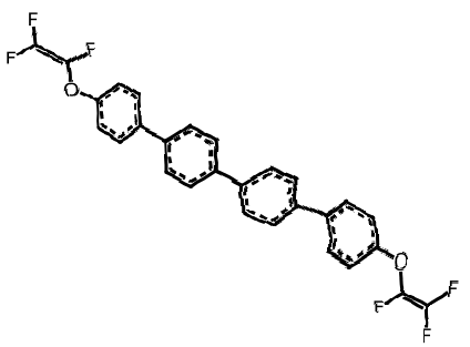 FC(F)=C(F)Oc1ccc(-c2ccc(-c3ccc(-c4ccc(OC(F)=C(F)F)cc4)cc3)cc2)cc1